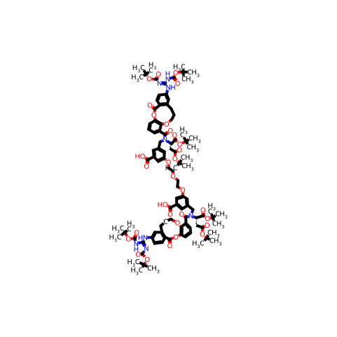 CC(C)(C)OC(=O)C[C@@H](C(=O)OC(C)(C)C)N(Cc1cc(OCCOCCOc2cc(CN(C(=O)c3cccc4c3OCCCc3cc(NC(=NC(=O)OC(C)(C)C)NC(=O)OC(C)(C)C)ccc3C(=O)O4)[C@@H](CC(=O)OC(C)(C)C)C(=O)OC(C)(C)C)cc(C(=O)O)c2)cc(C(=O)O)c1)C(=O)c1cccc2c1OCCCc1cc(NC(=NC(=O)OC(C)(C)C)NC(=O)OC(C)(C)C)ccc1C(=O)O2